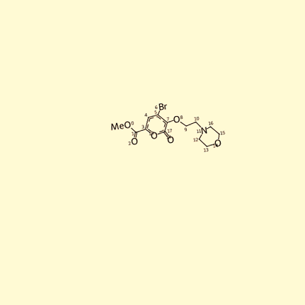 COC(=O)c1cc(Br)c(OCCN2CCOCC2)c(=O)o1